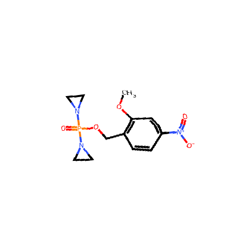 COc1cc([N+](=O)[O-])ccc1COP(=O)(N1CC1)N1CC1